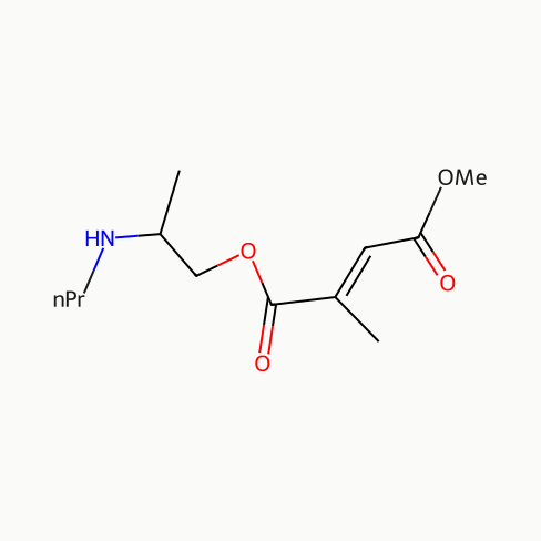 CCCNC(C)COC(=O)C(C)=CC(=O)OC